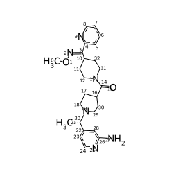 CO/N=C(/c1ccccn1)C1CCN(C(=O)C2CCN([C@@H](C)c3ccnc(N)c3)CC2)CC1